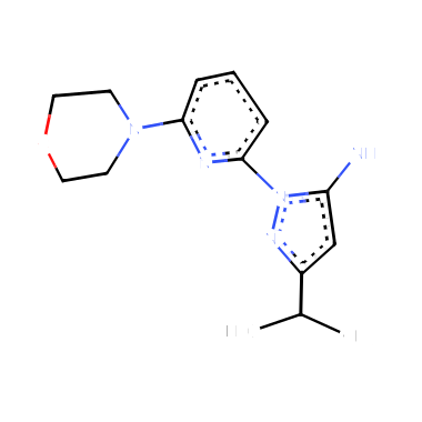 CC(C)c1cc(N)n(-c2cccc(N3CCOCC3)n2)n1